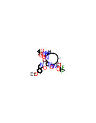 CCOc1ccc2c(O[C@@H]3C[C@H]4C(=O)N[C@]5(C(=O)NS(=O)(=O)C6(C)CC6)C[C@H]5/C=C\CC[C@H](C)C[C@@H](CC)[C@H](NC(=O)OC(C)(C)C(C)(F)F)C(=O)N4C3)nccc2c1